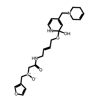 O=C(C[S+]([O-])Cc1ccoc1)NCC=CCOC1(O)C=C(CN2CC=CCC2)C=CN1